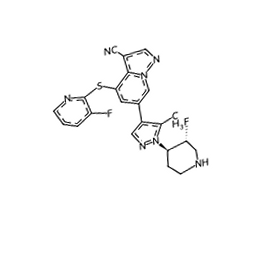 Cc1c(-c2cc(Sc3ncccc3F)c3c(C#N)cnn3c2)cnn1[C@@H]1CCNC[C@H]1F